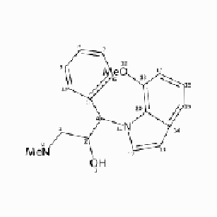 CNCC(O)C(c1ccccc1)n1ccc2cccc(OC)c21